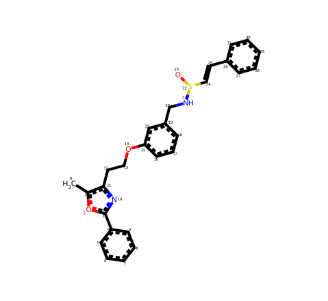 Cc1oc(-c2ccccc2)nc1CCOc1cccc(CN[S+]([O-])/C=C/c2ccccc2)c1